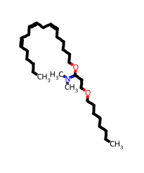 CCCCC/C=C\C/C=C\C/C=C\CCCCCOC(CCOCCCCCCCC)N(C)C